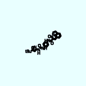 CC(C)(C)c1cc(NC(=O)Nc2ccc(NC(=O)c3cc4cccc5c4n(c3=O)CC5)cc2)no1